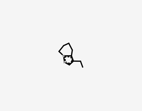 CCc1cnn2c1CCCC2